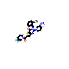 N#Cc1ccccc1Cn1c(N2CCC[C@@H](N)C2)nc2cc(C(=O)N3CCCC(F)(F)C3)sc2c1=O